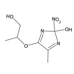 CC1=NC(O)([N+](=O)[O-])N=C1OC(C)CO